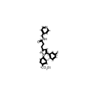 CCOC(=O)c1ccc(-n2nc(CCC(=O)NCc3ccncc3)cc2-c2cccc(F)c2)cc1